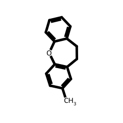 Cc1ccc2c(c1)CCc1ccccc1O2